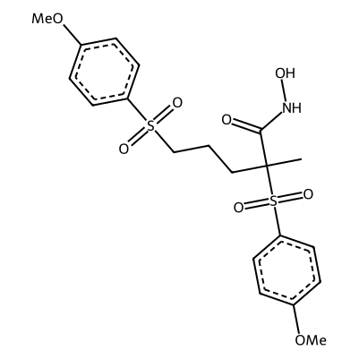 COc1ccc(S(=O)(=O)CCCC(C)(C(=O)NO)S(=O)(=O)c2ccc(OC)cc2)cc1